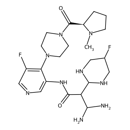 CN1CCC[C@@H]1C(=O)N1CCN(c2c(F)cncc2NC(=O)C(C(N)N)C2NCC(F)CN2)CC1